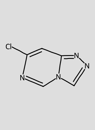 Clc1cc2nncn2cn1